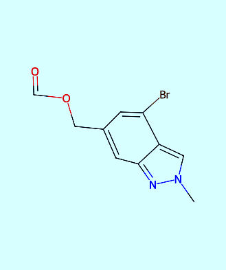 Cn1cc2c(Br)cc(COC=O)cc2n1